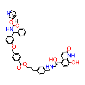 O=C(NC(c1ccccc1)c1cccc(OCc2ccc(C(=O)OCCCc3ccc(CNC[C@H](O)c4ccc(O)c5[nH]c(=O)ccc45)cc3)cc2)c1)O[C@H]1CN2CCC1CC2